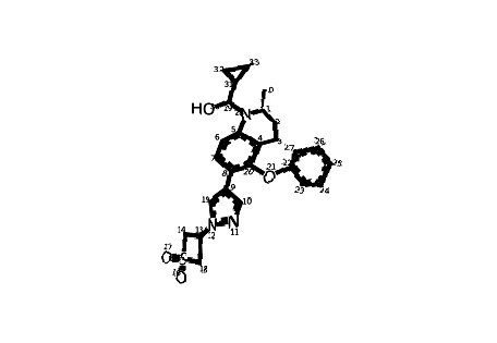 C[C@H]1CCc2c(ccc(-c3cnn(C4CS(=O)(=O)C4)c3)c2Oc2ccccc2)N1C(O)C1CC1